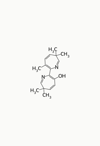 CC1=C(C2=C(O)C=CC(C)(C)C=N2)N=CC(C)(C)C=C1